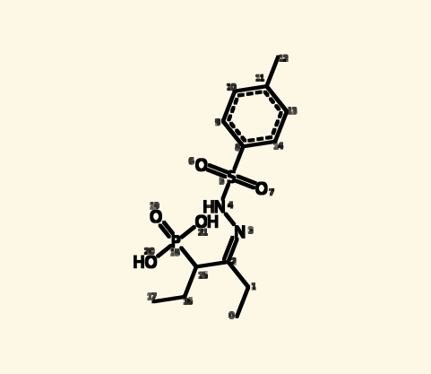 CCC(=NNS(=O)(=O)c1ccc(C)cc1)C(CC)P(=O)(O)O